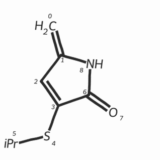 C=C1C=C(SC(C)C)C(=O)N1